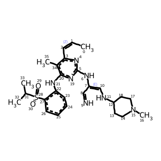 C/C=C\c1nc(N/C(C=N)=C/NC2CCN(C)CC2)nc(Nc2ccccc2S(=O)(=O)C(C)C)c1C